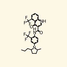 CCCC1CCC(C)N1c1ccc(NC(=O)c2c[nH]c3cccc(C(F)(F)F)c3c2=O)c(C(F)(F)F)c1